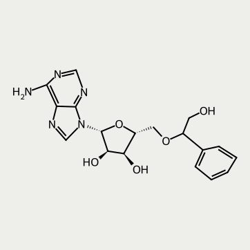 Nc1ncnc2c1ncn2[C@@H]1O[C@H](COC(CO)c2ccccc2)[C@@H](O)[C@H]1O